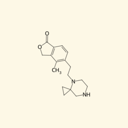 Cc1c(CCN2CCNCC23CC3)ccc2c1COC2=O